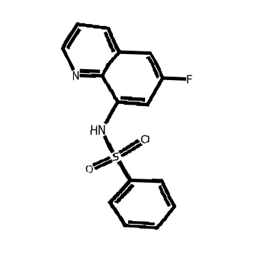 O=S(=O)(Nc1cc(F)cc2cccnc12)c1ccccc1